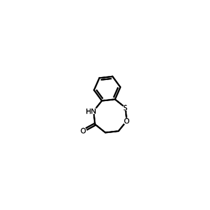 O=C1CCOSc2ccccc2N1